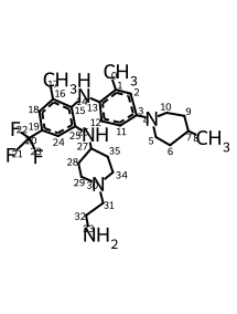 Cc1cc(N2CCC(C)CC2)ccc1Nc1c(C)cc(C(F)(F)F)cc1NC1CCN(CCN)CC1